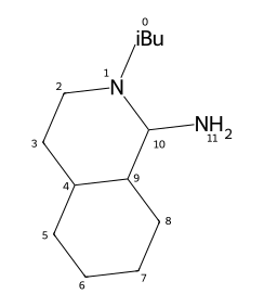 CCC(C)N1CCC2CCCCC2C1N